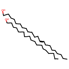 CCCCCCCCC=CCCCCCCCCCCCCO.CCCCCCCCCCCCCCCCCCO